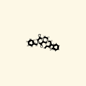 CCc1sc2ccccc2c1CN1CCN2C(=O)CN(Cc3ccccc3)C(=O)C2C1